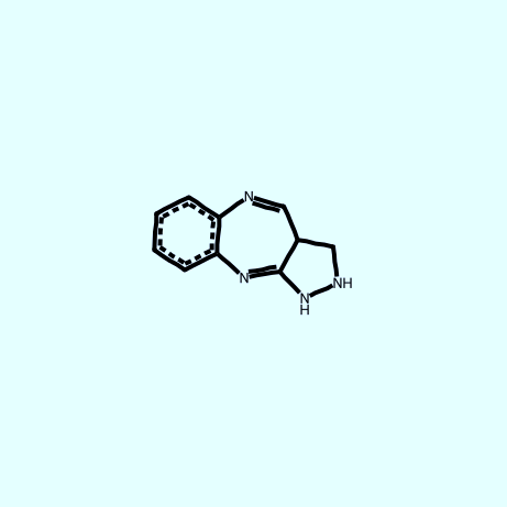 C1=Nc2ccccc2N=C2NNCC12